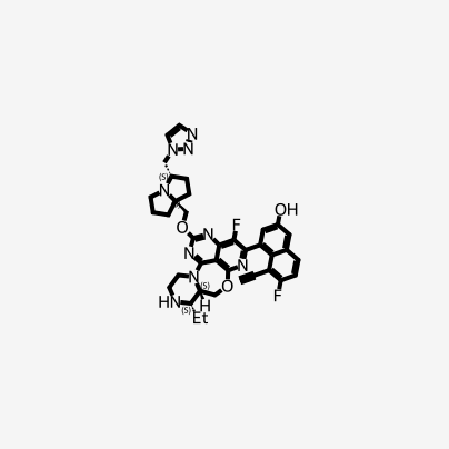 C#Cc1c(F)ccc2cc(O)cc(-c3nc4c5c(nc(OC[C@@]67CCCN6[C@H](Cn6ccnn6)CC7)nc5c3F)N3CCN[C@@H](CC)[C@H]3CO4)c12